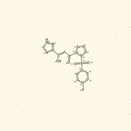 O=C(C=C(O)c1nc[nH]n1)c1sccc1S(=O)(=O)c1ccc(F)cc1